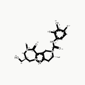 C[C@@H]1Cc2nn3c(c2CN1C(=O)Nc1ccc(F)c(C(F)(F)F)c1F)C(=O)N(C)C[C@H](CO)C3